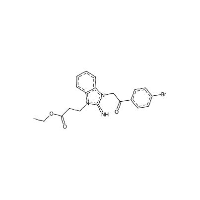 CCOC(=O)CCn1c(=N)n(CC(=O)c2ccc(Br)cc2)c2ccccc21